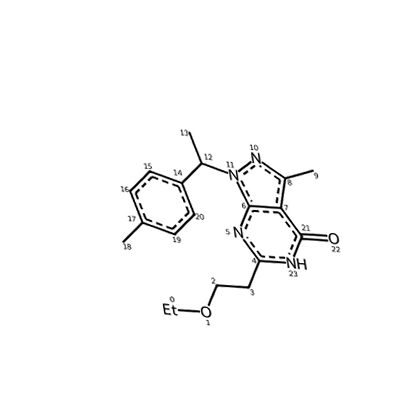 CCOCCc1nc2c(c(C)nn2C(C)c2ccc(C)cc2)c(=O)[nH]1